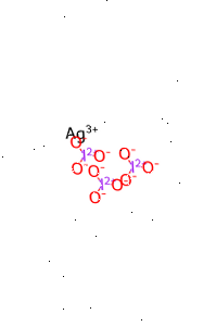 [Ag+3].[O-][I+2]([O-])[O-].[O-][I+2]([O-])[O-].[O-][I+2]([O-])[O-]